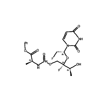 CC(C)OC(=O)[C@H](C)N[PH](=O)OC[C@@](F)(O[C@H](CF)n1ccc(=O)[nH]c1=O)[C@H](C)O